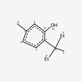 CCC(C)(CC)c1ccc(C)cc1O